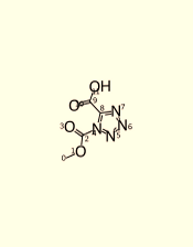 COC(=O)n1nnnc1C(=O)O